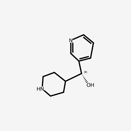 O[C@@H](c1cccnc1)C1CCNCC1